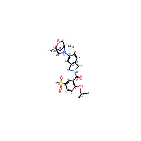 CC(C)Oc1ccc(S(C)(=O)=O)cc1C(=O)N1Cc2ccc(N3C[C@@H]4C[C@H]3CO4)cc2C1